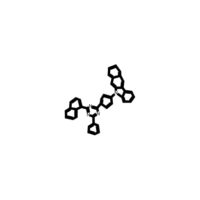 c1ccc(-c2nc(-c3ccc(-n4c5ccccc5c5cc6ccccc6cc54)cc3)nc(-c3cccc4ccccc34)n2)cc1